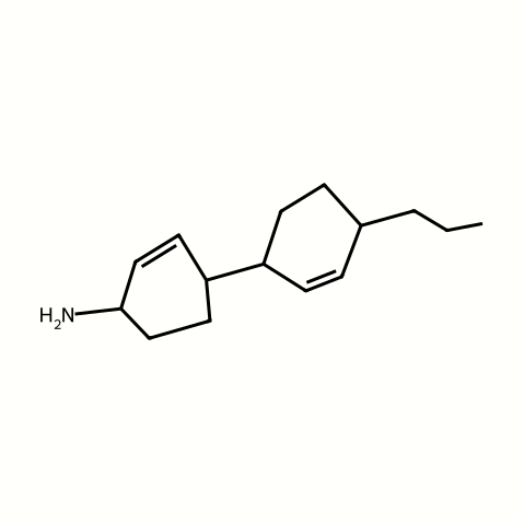 CCCC1C=CC(C2C=CC(N)CC2)CC1